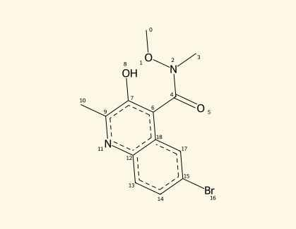 CON(C)C(=O)c1c(O)c(C)nc2ccc(Br)cc12